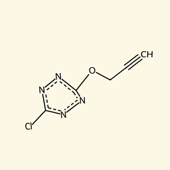 C#CCOc1nnc(Cl)nn1